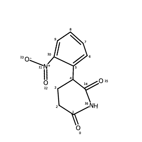 O=C1CCC(c2ccccc2[N+](=O)[O-])C(=O)N1